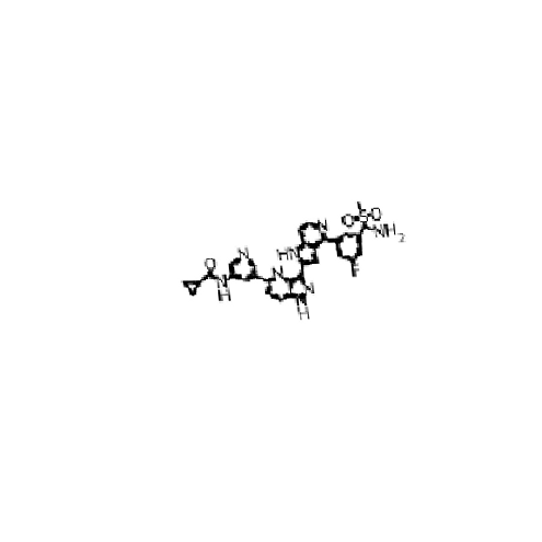 CS(=O)(=O)C(N)c1cc(F)cc(-c2nccc3[nH]c(-c4n[nH]c5ccc(-c6cncc(NC(=O)C7CC7)c6)nc45)cc23)c1